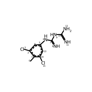 Cc1c(Cl)cc(NC(=N)NC(=N)N)cc1Cl